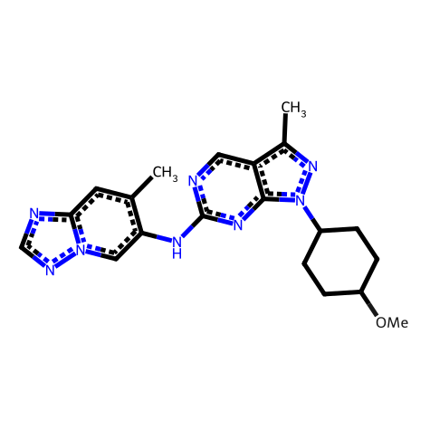 COC1CCC(n2nc(C)c3cnc(Nc4cn5ncnc5cc4C)nc32)CC1